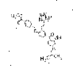 COC(=O)c1ccc(COc2ccc(C(=O)c3ccc(OCC(C)C)cc3O)cc2CCc2nnn[nH]2)cc1